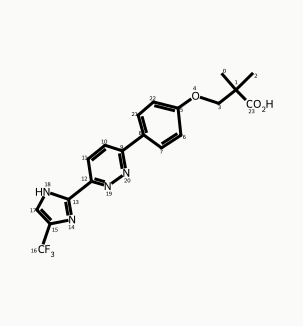 CC(C)(COc1ccc(-c2ccc(-c3nc(C(F)(F)F)c[nH]3)nn2)cc1)C(=O)O